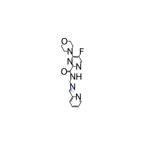 O=C(NC/N=C/c1ccccn1)c1ncc(F)c(N2CCOCC2)n1